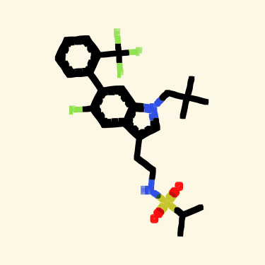 CC(C)S(=O)(=O)NCCc1cn(CC(C)(C)C)c2cc(-c3ccccc3C(F)(F)F)c(F)cc12